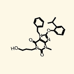 CC(C)c1ccccc1Oc1nc2c(c(=O)n(CCCO)c(=O)n2C)n1Cc1ccccc1